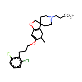 CC1CC2=C(C=C1OCCCc1c(F)cccc1Cl)OCC21CCN(CCC(=O)O)CC1